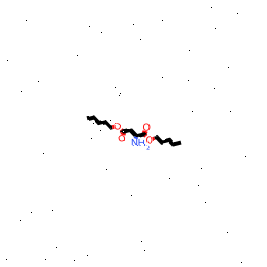 CCCCCOC(=O)C=C(N)C(=O)OCCCCC